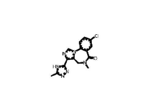 Cc1nnc(-c2ncn3c2CN(C)C(=O)c2cc(Cl)ccc2-3)[nH]1